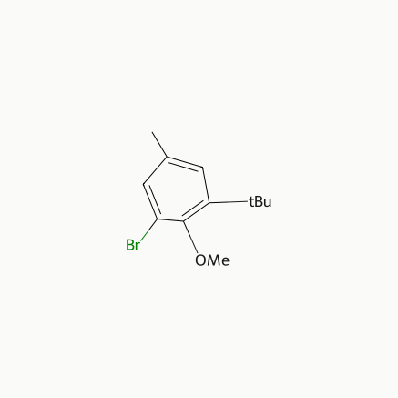 COc1c(Br)cc(C)cc1C(C)(C)C